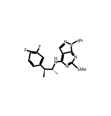 CCCn1ncc2c(N[C@H](C)[C@@H](C)c3ccc(F)c(F)c3)nc(SC)nc21